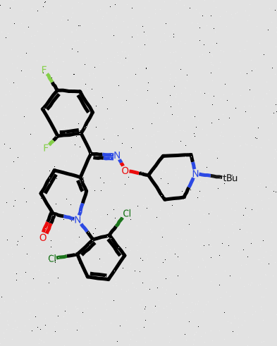 CC(C)(C)N1CCC(O/N=C(\c2ccc(=O)n(-c3c(Cl)cccc3Cl)c2)c2ccc(F)cc2F)CC1